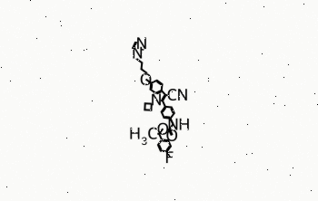 CC(OC(=O)Nc1ccc(-c2c(C#N)c3ccc(OCCCCn4ccnc4)cc3n2C2CCC2)cc1)c1ccc(F)cc1